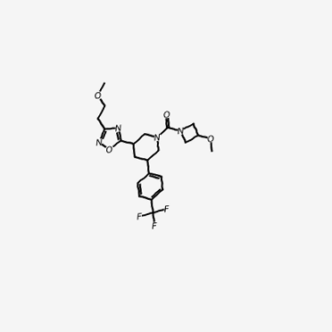 COCCc1noc(C2CC(c3ccc(C(F)(F)F)cc3)CN(C(=O)N3CC(OC)C3)C2)n1